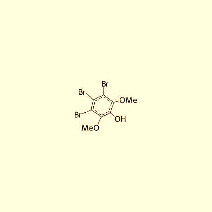 COc1c(O)c(OC)c(Br)c(Br)c1Br